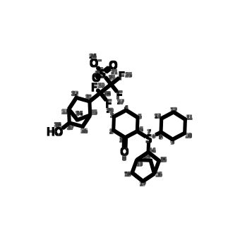 O=C1CCCCC1[S+](C1CCCCC1)C1CC2CCC1C2.O=S(=O)([O-])C(F)(F)C(F)(F)C1CC2CC1CC2O